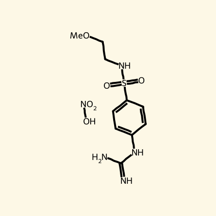 COCCNS(=O)(=O)c1ccc(NC(=N)N)cc1.O=[N+]([O-])O